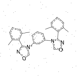 Cc1cccc(C)c1-c1noc[n+]1-c1cccc(-[n+]2conc2-c2c(C)cccc2C)c1